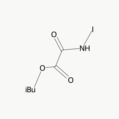 CCC(C)OC(=O)C(=O)NI